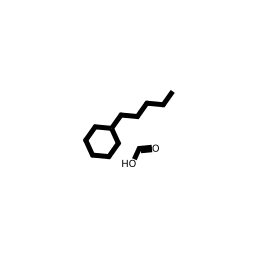 CCCCCC1CCCCC1.O=CO